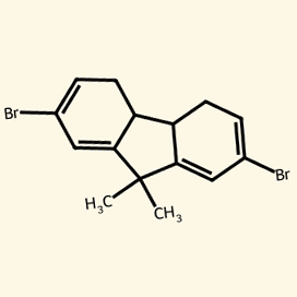 CC1(C)C2=CC(Br)=CCC2C2CC=C(Br)C=C21